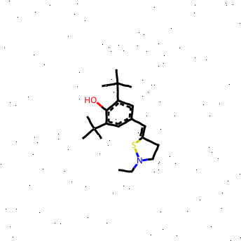 CCN1CCC(=Cc2cc(C(C)(C)C)c(O)c(C(C)(C)C)c2)S1